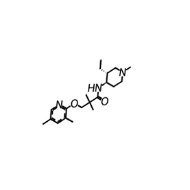 CC[C@@H]1CN(C)CC[C@H]1NC(=O)C(C)(C)COc1ncc(C)cc1C